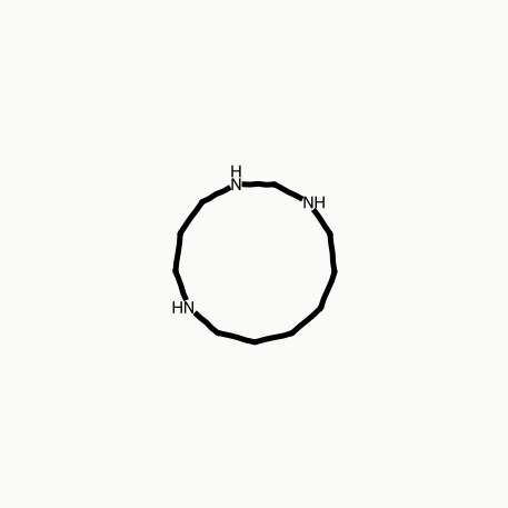 C1CCCNCNCCCNCC1